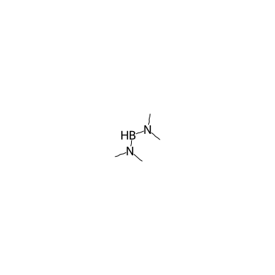 CN(C)BN(C)C